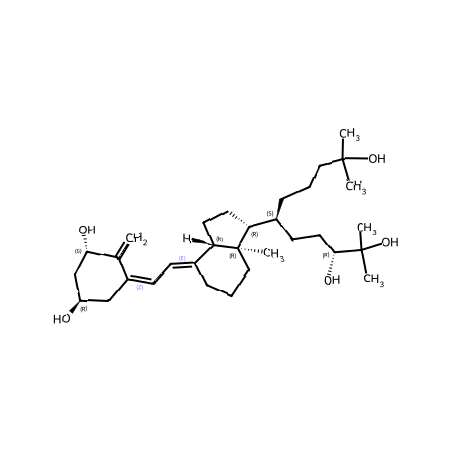 C=C1/C(=C\C=C2/CCC[C@]3(C)[C@@H]([C@@H](CCCC(C)(C)O)CC[C@@H](O)C(C)(C)O)CC[C@@H]23)C[C@@H](O)C[C@@H]1O